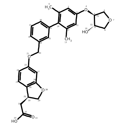 Cc1cc(O[C@H]2COC[C@@H]2O)cc(C)c1-c1cccc(COc2ccc3c(c2)OC[C@H]3CC(=O)O)c1